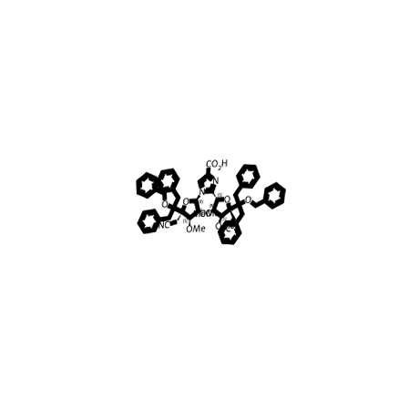 CO[C@@H]1[C@H](n2cc(C(=O)O)nc2[C@@H]2O[C@](CC#N)(C(Cc3ccccc3)(Cc3ccccc3)OCc3ccccc3)[C@@H](OC)[C@@H]2OC)O[C@](CC#N)(C(Cc2ccccc2)(Cc2ccccc2)OCc2ccccc2)[C@H]1OC